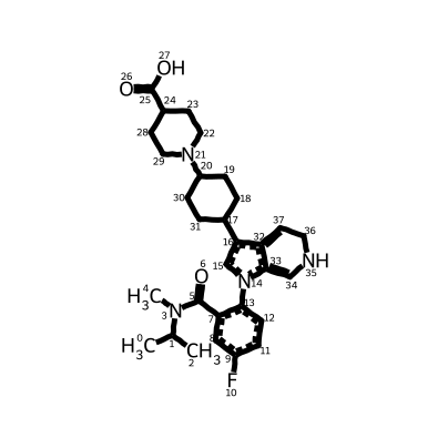 CC(C)N(C)C(=O)c1cc(F)ccc1-n1cc(C2CCC(N3CCC(C(=O)O)CC3)CC2)c2c1=CNCC=2